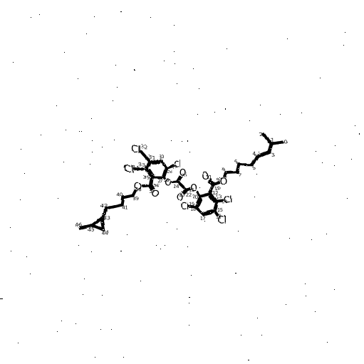 CC(C)CCCCCCOC(=O)c1c(Cl)c(Cl)cc(Cl)c1OC(=O)C(=O)Oc1c(Cl)cc(Cl)c(Cl)c1C(=O)OCCCCC1CC1C